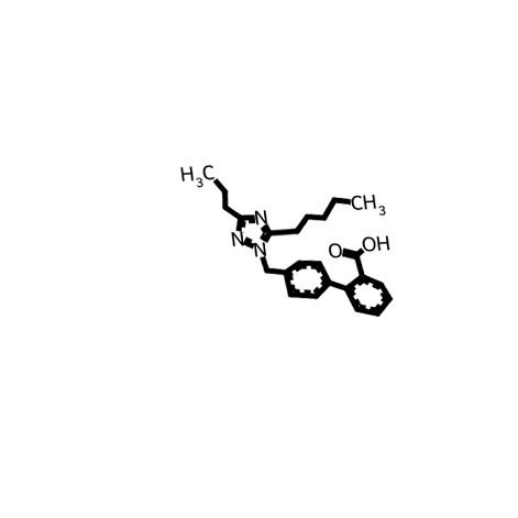 CCCCCc1nc(CCC)nn1Cc1ccc(-c2ccccc2C(=O)O)cc1